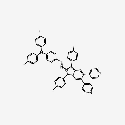 Cc1ccc(-c2c3cc(-c4ccncc4)c(-c4ccncc4)cc3c(-c3ccc(C)cc3)n2N=Cc2ccc(N(c3ccc(C)cc3)c3ccc(C)cc3)cc2)cc1